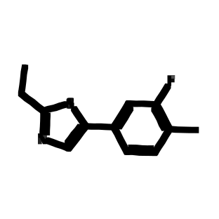 CCc1ncc(-c2ccc(C)c(F)c2)s1